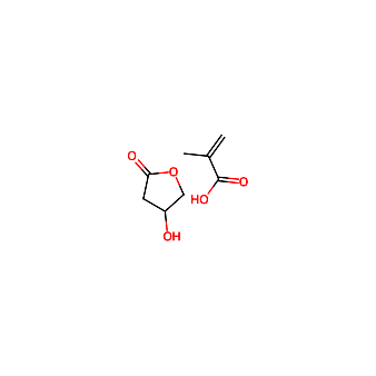 C=C(C)C(=O)O.O=C1CC(O)CO1